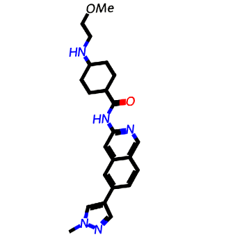 COCCNC1CCC(C(=O)Nc2cc3cc(-c4cnn(C)c4)ccc3cn2)CC1